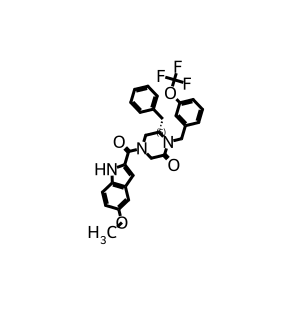 COc1ccc2[nH]c(C(=O)N3CC(=O)N(Cc4cccc(OC(F)(F)F)c4)[C@@H](Cc4ccccc4)C3)cc2c1